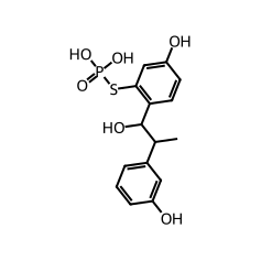 CC(c1cccc(O)c1)C(O)c1ccc(O)cc1SP(=O)(O)O